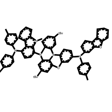 Cc1ccc(N(c2ccc3c(c2)Oc2cc(C(C)(C)C)cc4c2B3c2cc(C(C)(C)C)ccc2N4c2ccc(N(c3ccc(C)cc3)c3ccc(C)cc3)c3c4ccccc4n(C)c23)c2ccc3c(c2)oc2ccccc23)cc1